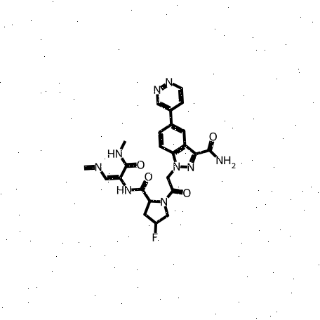 C=N/C=C(/NC(=O)C1CC(F)CN1C(=O)Cn1nc(C(N)=O)c2cc(-c3ccnnc3)ccc21)C(=O)NC